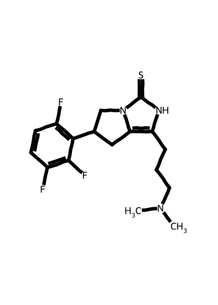 CN(C)CCCc1[nH]c(=S)n2c1CC(c1c(F)ccc(F)c1F)C2